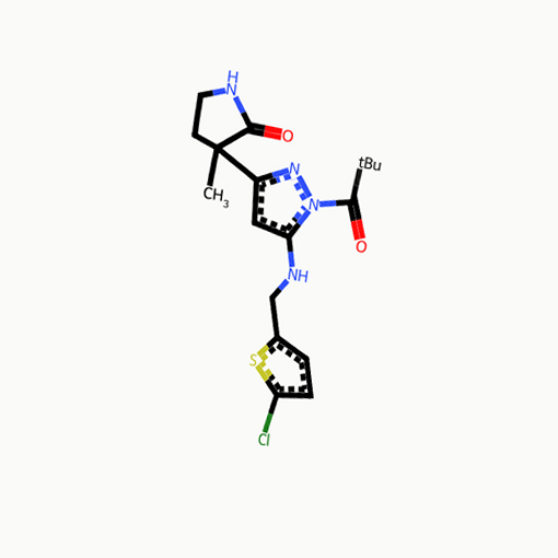 CC(C)(C)C(=O)n1nc(C2(C)CCNC2=O)cc1NCc1ccc(Cl)s1